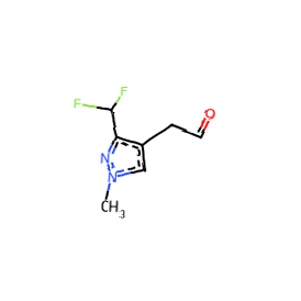 Cn1cc(CC=O)c(C(F)F)n1